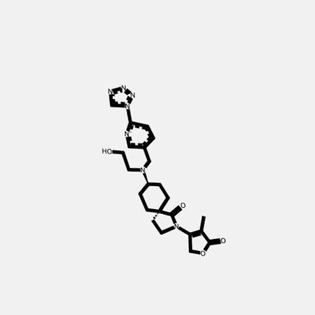 CC1=C(N2CC[C@]3(CC[C@H](N(CCO)Cc4ccc(-n5cnnn5)nc4)CC3)C2=O)COC1=O